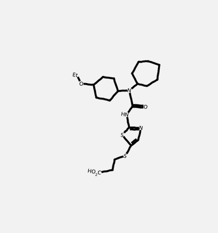 CCOC1CCC(N(C(=O)Nc2ncc(SCCC(=O)O)s2)C2CCCCCC2)CC1